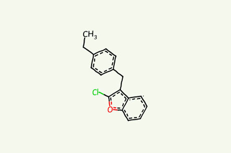 CCc1ccc(Cc2c(Cl)oc3ccc[c]c23)cc1